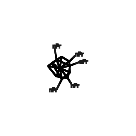 CCC[C]12[CH]3[CH]4[C]5(CCC)[CH]1[Fe]34251678[CH]2[CH]1[C]6(CCC)[C]7(CCC)[C]28CCC